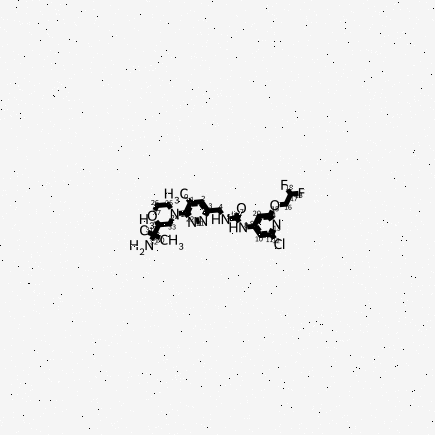 Cc1cc(CNC(=O)Nc2cc(Cl)nc(OCC(F)F)c2)nnc1N1CCOC(C(C)(C)N)C1